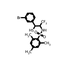 Cc1cc(C)c(S(=O)(=O)NC(C(S)c2cccc(Br)c2)C(F)(F)F)c(C)c1